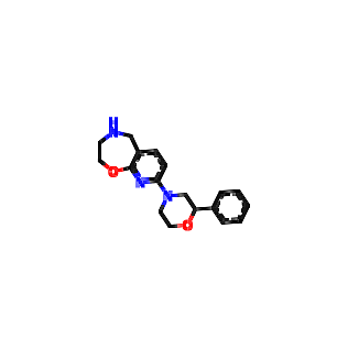 c1ccc(C2CN(c3ccc4c(n3)OCCNC4)CCO2)cc1